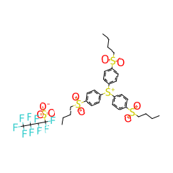 CCCCS(=O)(=O)c1ccc([S+](c2ccc(S(=O)(=O)CCCC)cc2)c2ccc(S(=O)(=O)CCCC)cc2)cc1.O=S(=O)([O-])C(F)(F)C(F)(F)C(F)(F)C(F)(F)F